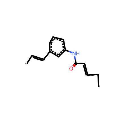 [CH2]C=Cc1cccc(NC(=O)C=CCC)c1